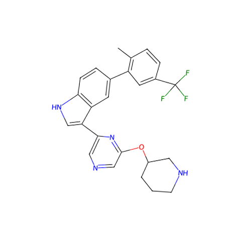 Cc1ccc(C(F)(F)F)cc1-c1ccc2[nH]cc(-c3cncc(OC4CCCNC4)n3)c2c1